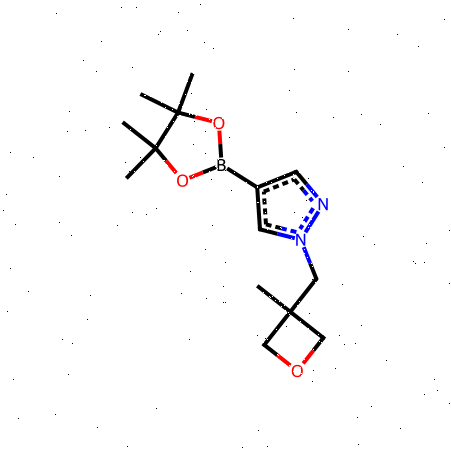 CC1(Cn2cc(B3OC(C)(C)C(C)(C)O3)cn2)COC1